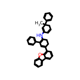 CC1(c2ccccc2)C=C(NC2=C(c3ccccc3)C=C(c3cccc4c3oc3ccccc34)CC2)C=CC1